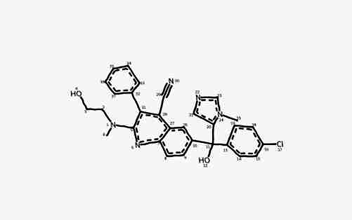 CN(CCO)c1nc2ccc(C(O)(c3ccc(Cl)cc3)c3cncn3C)cc2c(C#N)c1-c1ccccc1